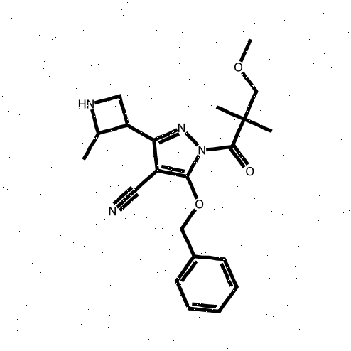 COCC(C)(C)C(=O)n1nc(C2CNC2C)c(C#N)c1OCc1ccccc1